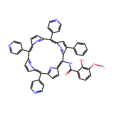 COc1cccc(C(=O)NC2=C3C=CC(=N3)C(c3ccncc3)=C3C=CC(=N3)C(c3ccncc3)=C3C=CC(=N3)C(c3ccncc3)=C3C=C(c4ccccc4)C2=N3)c1O